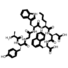 CCCC[C@H](NC(=O)[C@H](Cc1c[nH]c2ccccc12)NC(=O)CNC(=O)[C@H](Cc1ccc(O)cc1)NC(=O)[C@H](C)N)C(=O)N[C@@H](CC(=O)O)C(=O)N[C@@H](Cc1cccc2ccccc12)C(=O)O